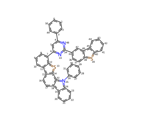 c1ccc(-c2cc(-c3cccc4c3sc3c4ccc4c5ccccc5n(-c5ccccc5)c43)nc(-c3ccc4sc5ccccc5c4c3)n2)cc1